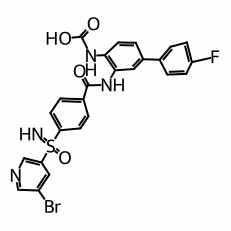 N=S(=O)(c1ccc(C(=O)Nc2cc(-c3ccc(F)cc3)ccc2NC(=O)O)cc1)c1cncc(Br)c1